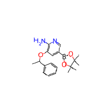 CC(Oc1cc(B2OC(C)(C)C(C)(C)O2)cnc1N)c1ccccc1